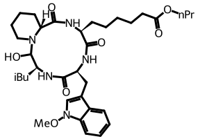 CCCOC(=O)CCCCC[C@@H]1NC(=O)[C@H]2CCCCN2C(O)[C@H](C(C)CC)NC(=O)[C@H](Cc2cn(OC)c3ccccc23)NC1=O